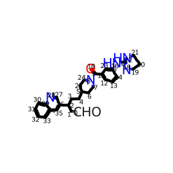 O=CCC(CCC1CCN(C(=O)c2cccc(NC3=NCCCN3)c2)CC1)c1cnc2ccccc2c1